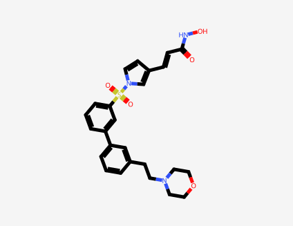 O=C(/C=C/c1ccn(S(=O)(=O)c2cccc(-c3cccc(CCN4CCOCC4)c3)c2)c1)NO